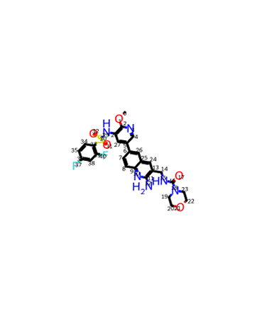 COc1ncc(-c2ccc3nc(N)c(CNC(=O)N4CCOCC4)cc3c2)cc1NS(=O)(=O)c1ccc(F)cc1F